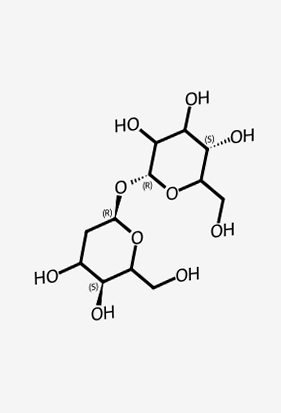 OCC1O[C@H](O[C@@H]2CC(O)[C@H](O)C(CO)O2)C(O)C(O)[C@@H]1O